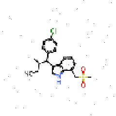 CC(CC#N)C(c1ccc(Cl)cc1)c1c[nH]c2c(CS(C)(=O)=O)cccc12